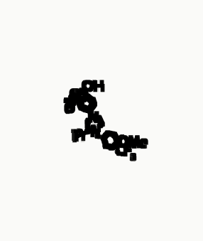 CO[C@]1(C(F)(F)F)CC[C@H](CN2CCN(c3ccc(CO)c(S(C)(=O)=O)c3)CC2C(C)C)CC1